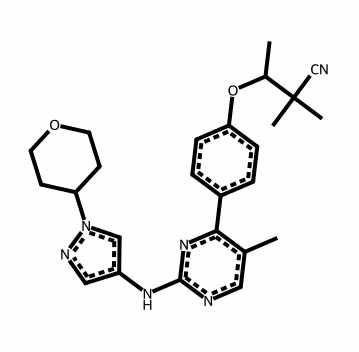 Cc1cnc(Nc2cnn(C3CCOCC3)c2)nc1-c1ccc(OC(C)C(C)(C)C#N)cc1